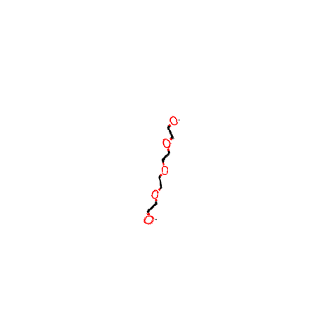 [O]CCOCCOCCOCC[O]